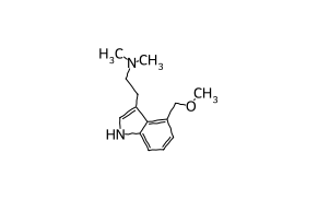 COCc1cccc2[nH]cc(CCN(C)C)c12